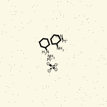 NC1CCCCC1.NC1CCCCC1.O=S(=O)([O-])[O-].[NH2][Pt+].[NH2][Pt+]